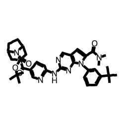 CN(C)C(=O)c1cc2cnc(Nc3ccc(C(=O)N4CC5CCC(C4)N5C(=O)OC(C)(C)C)cn3)nc2n1-c1cccc(C(C)(C)C)c1